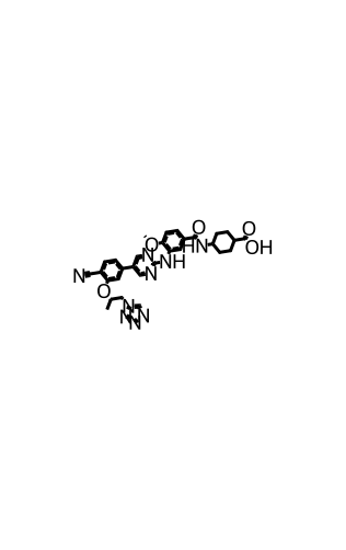 COc1ccc(C(=O)NC2CCC(C(=O)O)CC2)cc1Nc1ncc(-c2ccc(C#N)c(OC(C)Cn3cnnn3)c2)cn1